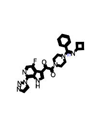 O=C(C(=O)N1CCN(/C(=N/C2CCC2)c2ccccc2)CC1)c1c[nH]c2c(-n3ccnn3)ncc(F)c12